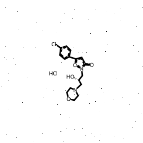 Cl.O=c1cc(-c2ccc(Cl)cc2)on1C[C@@H](O)CN1CCOCC1